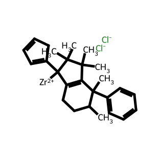 CC1CCC2=C(C1(C)c1ccccc1)C(C)(C)C(C)(C)[C]2([Zr+2])C1=CC=CC1.[Cl-].[Cl-]